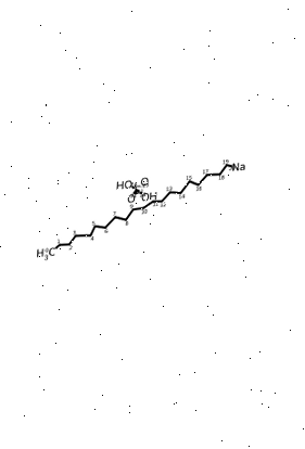 CCCCCCCCCCCCCCCCCCC[CH2][Na].O=S(=O)(O)O